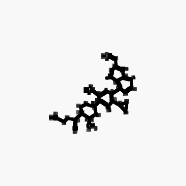 C=Cc1cnc2c(-c3cc(N)c(N4CCN(C(=O)CCO)[C@H](C)C4)nc3C3CC3)cccc2n1